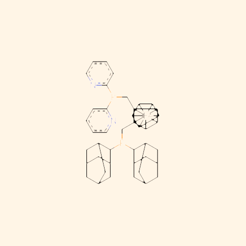 c1ccc(P(C[C]23[CH]4[CH]5[CH]6[C]2(CP(C2C7CC8CC(C7)CC2C8)C2C7CC8CC(C7)CC2C8)[Fe]54632789[CH]3[CH]2[CH]7[CH]8[CH]39)c2ccccn2)nc1